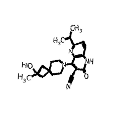 CC(C)c1ccc2[nH]c(=O)c(C#N)c(N3CCC4(CC3)CC(C)(O)C4)c2n1